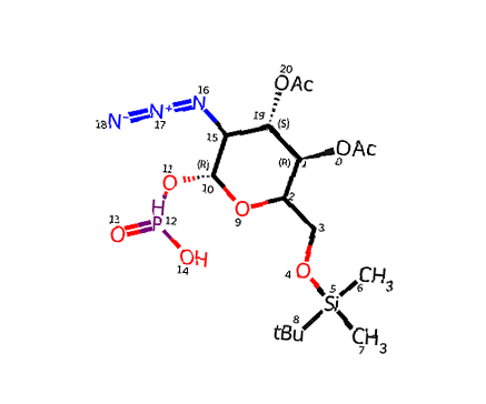 CC(=O)O[C@H]1C(CO[Si](C)(C)C(C)(C)C)O[C@H](O[PH](=O)O)C(N=[N+]=[N-])[C@@H]1OC(C)=O